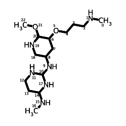 CNCCCOC1CC(NC2NCCC(NC)N2)CNC1OC